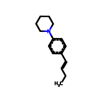 CCC=Cc1ccc(N2CCCCC2)cc1